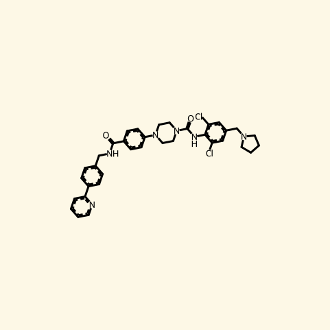 O=C(NCc1ccc(-c2ccccn2)cc1)c1ccc(N2CCN(C(=O)Nc3c(Cl)cc(CN4CCCC4)cc3Cl)CC2)cc1